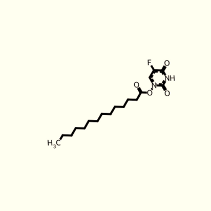 CCCCCCCCCCCCCC(=O)On1cc(F)c(=O)[nH]c1=O